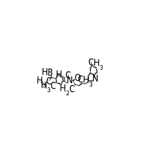 B=C(C)c1ccc(CN(C)C(=O)C(=C)/C=C(\C)Cc2cnc3ccc(C)cc3c2)cc1C